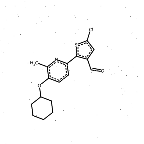 Cc1nc(-c2sc(Cl)cc2C=O)ccc1OC1CCCCC1